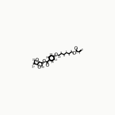 C=CC(=O)OCCCCCCOc1ccc(C(=O)O[C@H]2COC3C2OC[C@H]3C)cc1